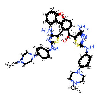 CN1CCN(c2ccc(Nc3nc(N)c(C(=O)c4ccc5oc6ccccc6c5c4-c4sc(Nc5ccc(N6CCN(C)CC6)cc5)nc4N)s3)cc2)CC1